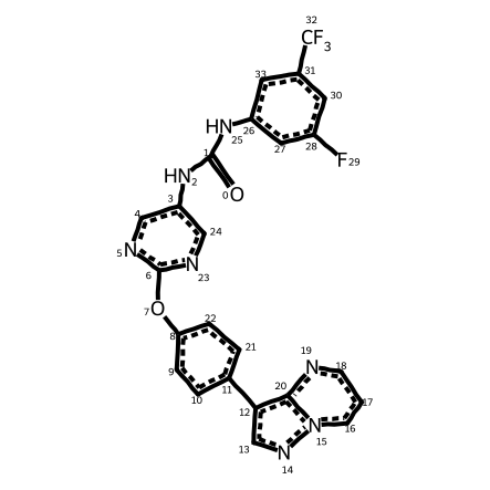 O=C(Nc1cnc(Oc2ccc(-c3cnn4cccnc34)cc2)nc1)Nc1cc(F)cc(C(F)(F)F)c1